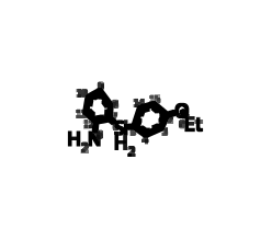 CCOc1ccc([SiH2]c2ccccc2N)cc1